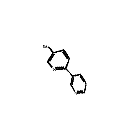 Brc1ccc(-c2cncnc2)nc1